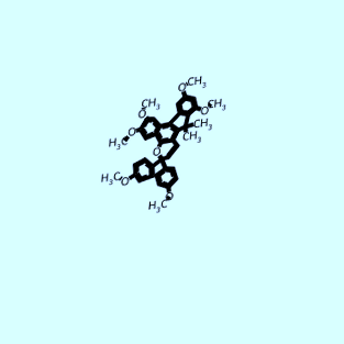 COc1ccc(C2(c3ccc(OC)cc3)C=Cc3c4c(c5cc(OC)c(OC)cc5c3O2)-c2cc(OC)cc(OC)c2C4(C)C)cc1